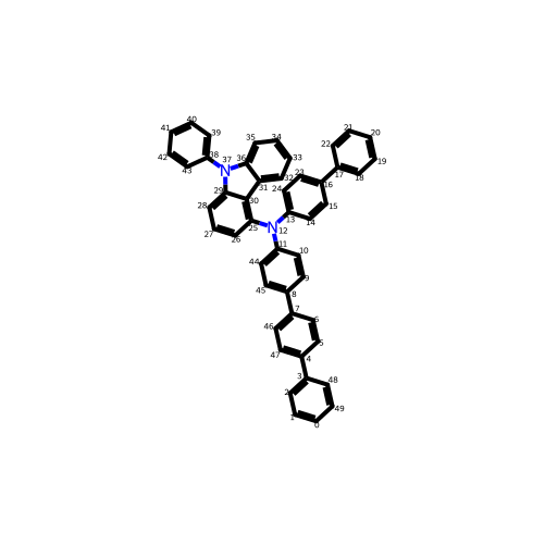 c1ccc(-c2ccc(-c3ccc(N(c4ccc(-c5ccccc5)cc4)c4cccc5c4c4ccccc4n5-c4ccccc4)cc3)cc2)cc1